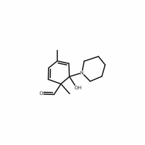 CC1=CC(O)(N2CCCCC2)C(C)(C=O)C=C1